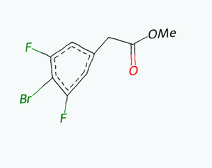 COC(=O)Cc1cc(F)c(Br)c(F)c1